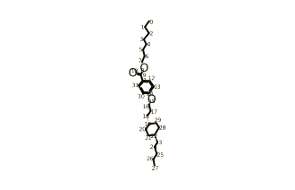 CCCCCCCCOC(=O)c1ccc(OCCC[C@H]2CC[C@H](CCCCC)CC2)cc1